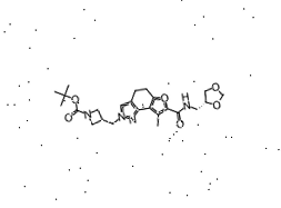 Cc1c(C(=O)NC[C@@H]2COCO2)oc2c1-c1nn(CC3CN(C(=O)OC(C)(C)C)C3)cc1CC2